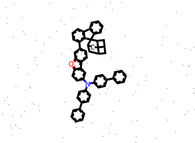 c1ccc(-c2ccc(N(c3ccc(-c4ccccc4)cc3)c3ccc4oc5cc(-c6cccc7c6C6(c8ccccc8-7)C7CC8CC9CC6C89C7)ccc5c4c3)cc2)cc1